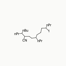 CCCCC(CCC)C(C#N)CCC(CCC)CCCC(I)CCC